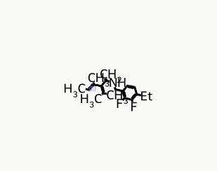 C=C(NCc1ccc(CC)c(F)c1F)C(=C(C)C)/C(C)=C/C